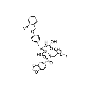 CC(C)CN(C[C@@H](O)[C@H](Cc1ccc(OCc2ccccc2C#N)cc1)NC(=O)O)S(=O)(=O)c1ccc2c(c1)OCO2